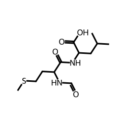 CSCCC(NC=O)C(=O)NC(CC(C)C)C(=O)O